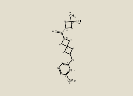 COc1cccc(CC2CC3(C2)CN(C(=O)[C@H]2C[C@@](C)(O)C2)C3)n1